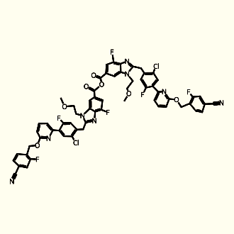 COCCn1c(Cc2cc(F)c(-c3cccc(OCc4ccc(C#N)cc4F)n3)cc2Cl)nc2c(F)cc(C(=O)OC(=O)c3cc(F)c4nc(Cc5cc(F)c(-c6cccc(OCc7ccc(C#N)cc7F)n6)cc5Cl)n(CCOC)c4c3)cc21